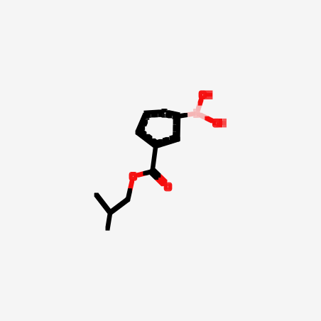 CC(C)COC(=O)c1cccc(B(O)O)c1